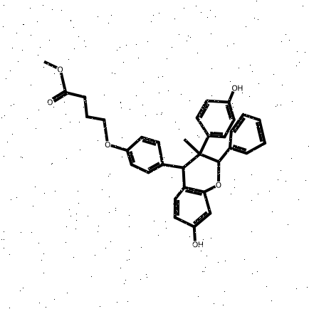 COC(=O)CCCOc1ccc(C2c3ccc(O)cc3OC(c3ccccc3)C2(C)c2ccc(O)cc2)cc1